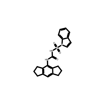 O=C(Nc1c2c(cc3c1CCC3)CCC2)NS(=O)(=O)n1ccc2ccccc21